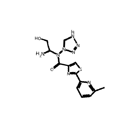 Cc1cccc(-c2nc(C(=O)N(C(N)CO)N3CNN=N3)cs2)n1